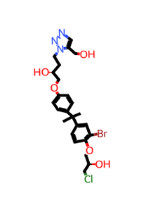 CC(C)(c1ccc(OC[C@H](O)CCn2nncc2CO)cc1)c1ccc(OC[C@@H](O)CCl)c(Br)c1